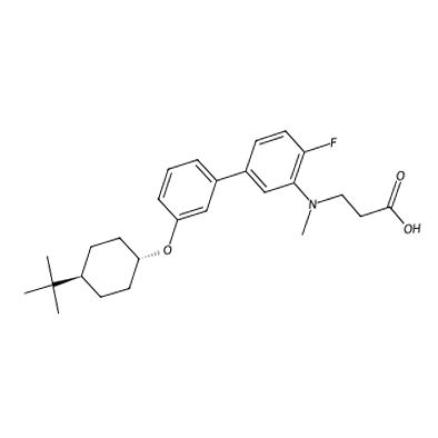 CN(CCC(=O)O)c1cc(-c2cccc(O[C@H]3CC[C@H](C(C)(C)C)CC3)c2)ccc1F